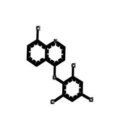 Clc1cc(Cl)c(Oc2ccnc3c(Cl)cccc23)c(Cl)c1